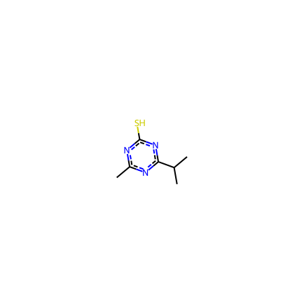 Cc1nc(S)nc(C(C)C)n1